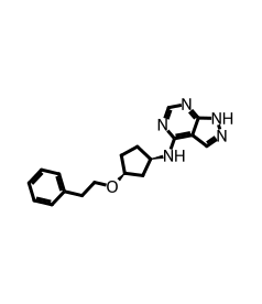 c1ccc(CCO[C@H]2CC[C@@H](Nc3ncnc4[nH]ncc34)C2)cc1